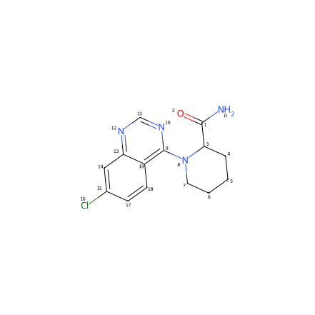 NC(=O)C1C[CH]CCN1c1ncnc2cc(Cl)ccc12